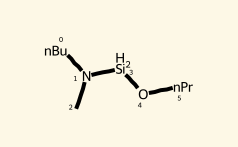 CCCCN(C)[SiH2]OCCC